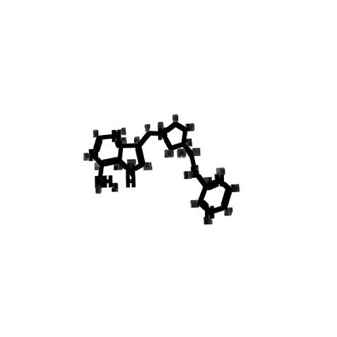 Nc1ncnc2c(CN3CC[C@@H](CSc4cnccn4)C3)c[nH]c12